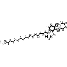 CCCCCCCCCCCCCCCCC=Cn1ccc(=O)c(OC2CCCCO2)c1CC